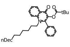 CCCCCCCCCCCCCCCCn1c(-c2ccccc2)c(OC(=O)C(C)(C)C)c(=O)c2ccccc21